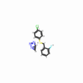 Fc1ccccc1CSc1ccc(Cl)cc1.c1c2nnn1-2